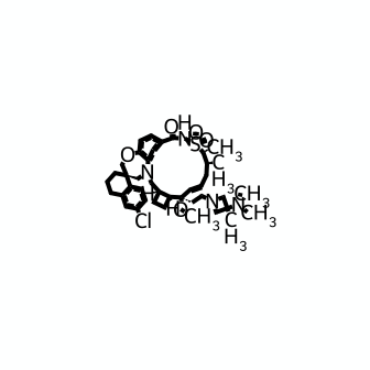 CO[C@]1(CCN2CC(C)(N(C)C)C2)/C=C/C[C@H](C)[C@@H](C)S(=O)(=O)NC(=O)c2ccc3c(c2)N(C[C@@H]2CC[C@H]21)C[C@@]1(CCCc2cc(Cl)ccc21)CO3